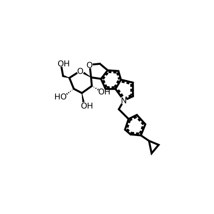 OC[C@H]1O[C@]2(OCc3cc4ccn(Cc5ccc(C6CC6)cc5)c4cc32)[C@H](O)[C@@H](O)[C@@H]1O